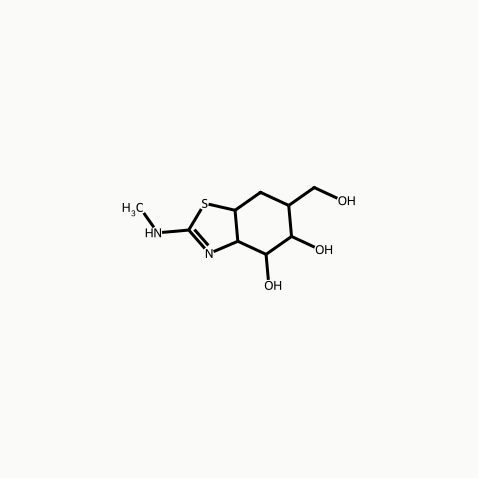 CNC1=NC2C(CC(CO)C(O)C2O)S1